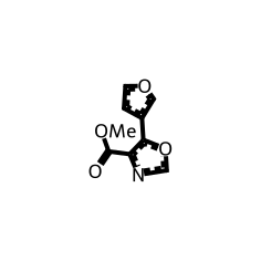 COC(=O)c1ncoc1-c1ccoc1